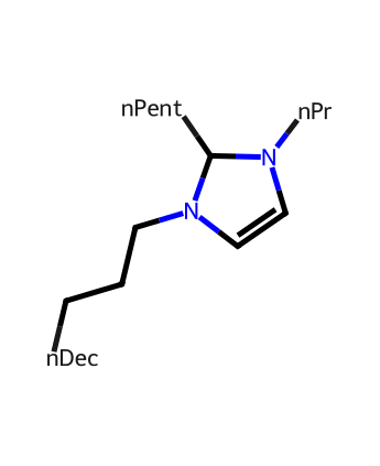 CCCCCCCCCCCCCN1C=CN(CCC)C1CCCCC